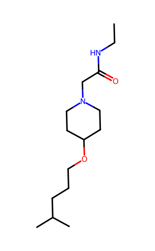 CCNC(=O)CN1CCC(OCCCC(C)C)CC1